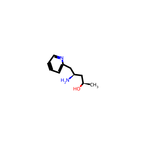 C[C@@H](O)C[C@@H](N)Cc1cc#ccn1